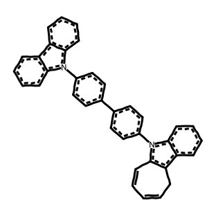 C1=CCc2c(n(-c3ccc(-c4ccc(-n5c6ccccc6c6ccccc65)cc4)cc3)c3ccccc23)C=C1